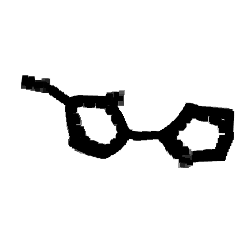 CSc1ccc(-c2cccs2)[nH]1